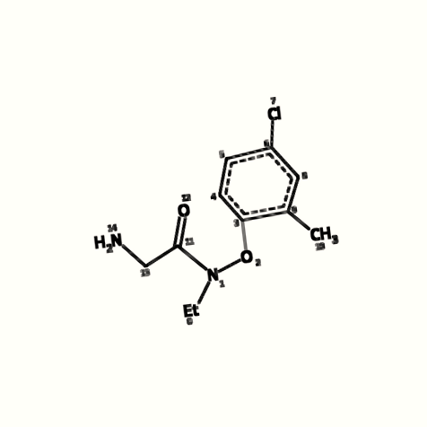 CCN(Oc1ccc(Cl)cc1C)C(=O)CN